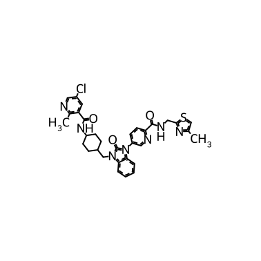 Cc1csc(CNC(=O)c2ccc(-n3c(=O)n(CC4CCC(NC(=O)c5cc(Cl)cnc5C)CC4)c4ccccc43)cn2)n1